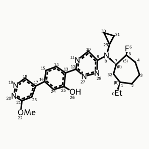 CC[C@@H]1CCC[C@H](F)[C@H](N(c2cnc(-c3ccc(-c4cnnc(OC)c4)cc3O)nn2)C2CC2)C1